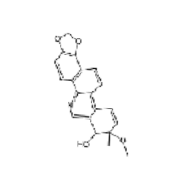 COC1(C)C=Cc2c(cnc3c2ccc2c4c(ccc23)OCO4)C1O